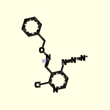 [N-]=[N+]=Nc1ccnc(Cl)c1/C=N/OCc1ccccc1